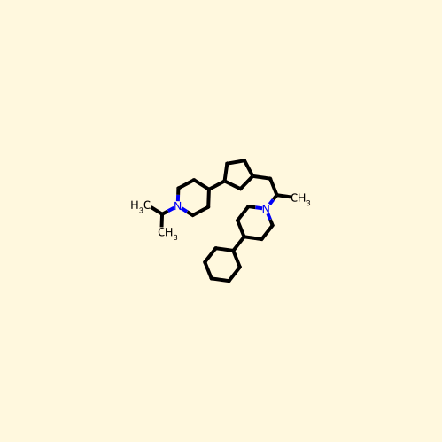 CC(C)N1CCC(C2CCC(CC(C)N3CCC(C4CCCCC4)CC3)C2)CC1